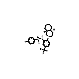 O=S(=O)(Nc1cc(C(F)(F)F)ccc1N1CC[C@@H]2CCCC[C@H]2C1)c1ccc(F)cc1